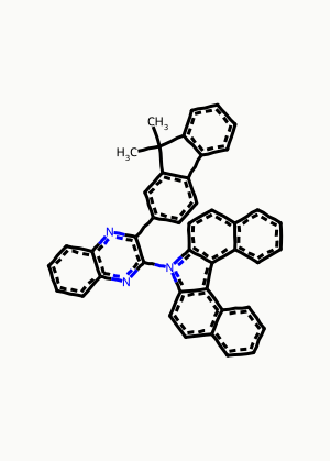 CC1(C)c2ccccc2-c2ccc(-c3nc4ccccc4nc3-n3c4ccc5ccccc5c4c4c5ccccc5ccc43)cc21